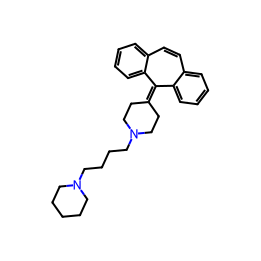 C1=Cc2ccccc2C(=C2CCN(CCCCN3CCCCC3)CC2)c2ccccc21